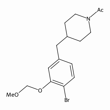 COCOc1cc(CC2CCN(C(C)=O)CC2)ccc1Br